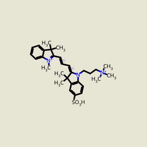 C[N+]1=C(/C=C/C=C2/N(CCC[N+](C)(C)C)c3ccc(S(=O)(=O)O)cc3C2(C)C)C(C)(C)c2ccccc21